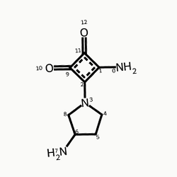 Nc1c(N2CCC(N)C2)c(=O)c1=O